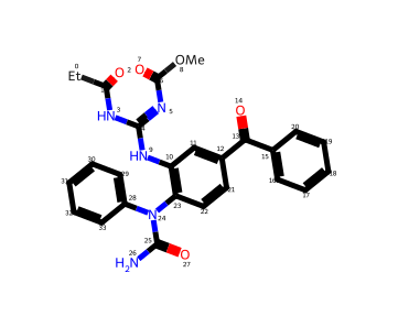 CCC(=O)NC(=NC(=O)OC)Nc1cc(C(=O)c2ccccc2)ccc1N(C(N)=O)c1ccccc1